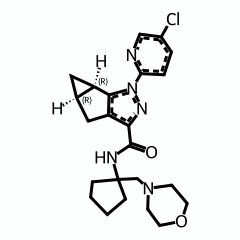 O=C(NC1(CN2CCOCC2)CCCC1)c1nn(-c2ccc(Cl)cn2)c2c1C[C@H]1C[C@@H]21